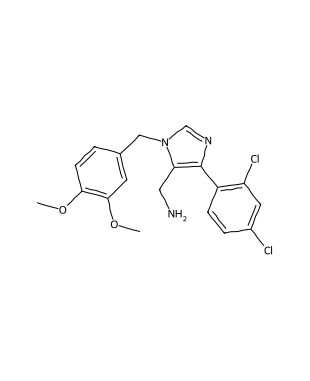 COc1ccc(Cn2cnc(-c3ccc(Cl)cc3Cl)c2CN)cc1OC